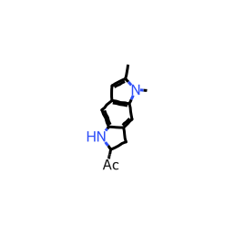 CC(=O)C1Cc2cc3c(cc2N1)cc(C)n3C